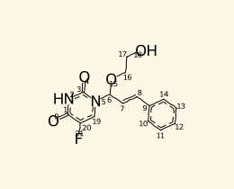 O=c1[nH]c(=O)n(C(C=Cc2ccccc2)OCCO)cc1F